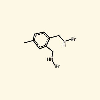 Cc1ccc(CNC(C)C)c(CNC(C)C)c1